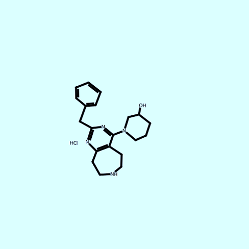 Cl.OC1CCCN(c2nc(Cc3ccccc3)nc3c2CCNCC3)C1